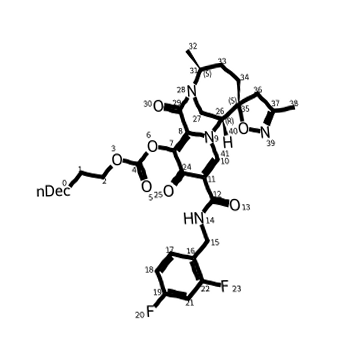 CCCCCCCCCCCCOC(=O)Oc1c2n(cc(C(=O)NCc3ccc(F)cc3F)c1=O)[C@@H]1CN(C2=O)[C@@H](C)CC[C@]12CC(C)=NO2